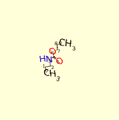 CCCNC(=O)OCCC